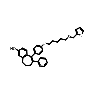 Oc1ccc2c(c1)CCCC(c1ccccc1)=C2c1ccc(OCCCCCSCc2cccs2)cc1